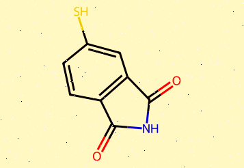 O=C1NC(=O)c2cc(S)ccc21